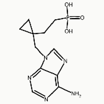 Nc1ncnc2c1ncn2CC1(CCP(=O)(O)O)CC1